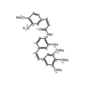 COc1ccc(/C=C\C(=O)Nc2ccc(/C=C\c3cc(OC)c(OC)c(OC)c3)cc2O)cc1N